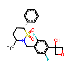 C[C@H]1CC[C@H](c2ccccc2)S(=O)(=O)N1Cc1cc(F)c(C2(O)COC2)cc1F